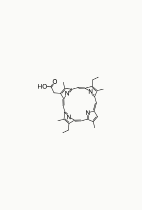 CCC1=C(C)C2=NC1=CC1=NC(=CC3=NC(=CC4=NC(=C2)C=C4C)C(CC)=C3C)C(CC(=O)O)=C1C